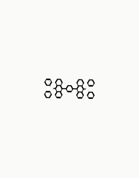 c1ccc(N(c2ccccc2)c2c3ccccc3c(-c3ccc(-c4c5ccccc5c(N(c5ccccc5)c5ccccc5)c5ccccc45)cc3)c3ccccc23)cc1